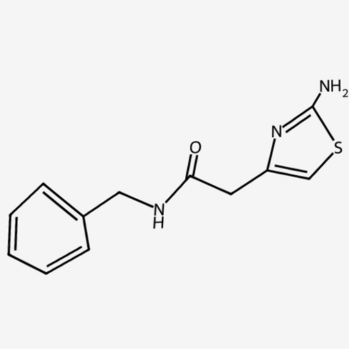 Nc1nc(CC(=O)NCc2ccccc2)cs1